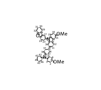 COc1ccc2c(c1)c1cc(-c3ccc4c5cc(OC)ccc5n(-c5ccc6c(c5)C5C=CC=CC5O6)c4c3)ccc1n2-c1ccccc1